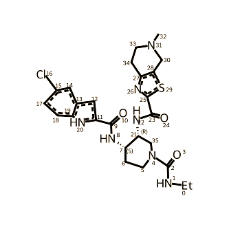 CCNC(=O)N1CC[C@H](NC(=O)c2cc3cc(Cl)ccc3[nH]2)[C@H](NC(=O)c2nc3c(s2)CN(C)CC3)C1